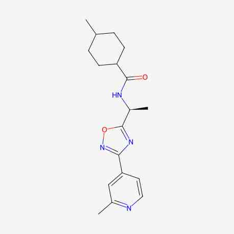 Cc1cc(-c2noc([C@H](C)NC(=O)C3CCC(C)CC3)n2)ccn1